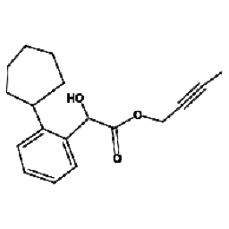 CC#CCOC(=O)C(O)c1ccccc1C1CCCCC1